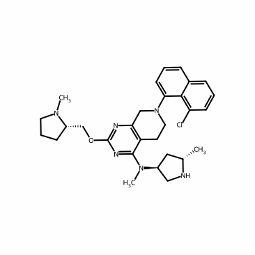 C[C@H]1C[C@H](N(C)c2nc(OC[C@@H]3CCCN3C)nc3c2CCN(c2cccc4cccc(Cl)c24)C3)CN1